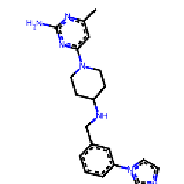 Cc1cc(N2CCC(NCc3cccc(-n4ccnc4)c3)CC2)nc(N)n1